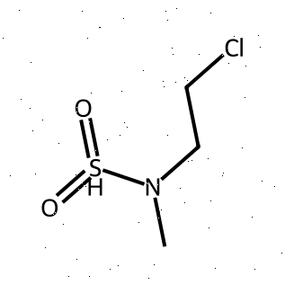 CN(CCCl)[SH](=O)=O